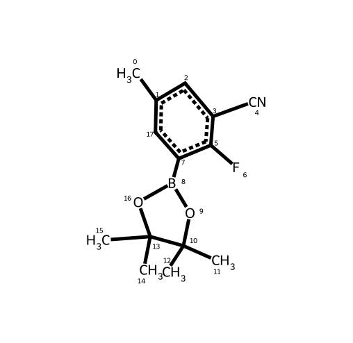 Cc1cc(C#N)c(F)c(B2OC(C)(C)C(C)(C)O2)c1